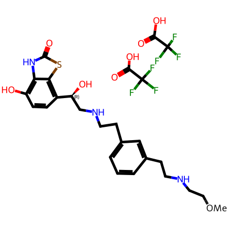 COCCNCCc1cccc(CCNC[C@H](O)c2ccc(O)c3[nH]c(=O)sc23)c1.O=C(O)C(F)(F)F.O=C(O)C(F)(F)F